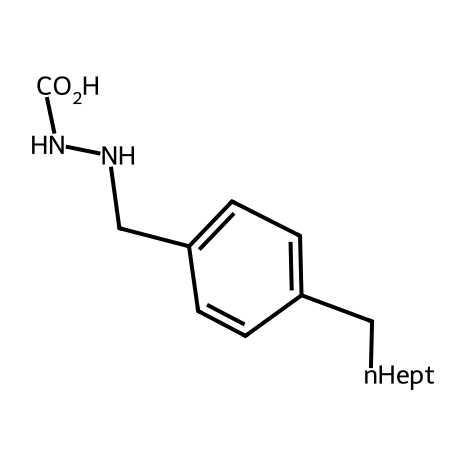 CCCCCCCCc1ccc(CNNC(=O)O)cc1